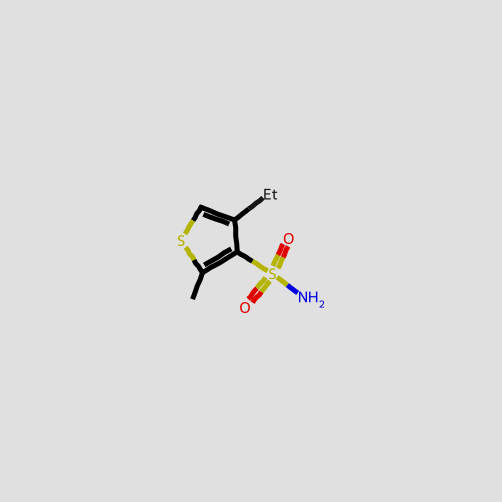 CCc1csc(C)c1S(N)(=O)=O